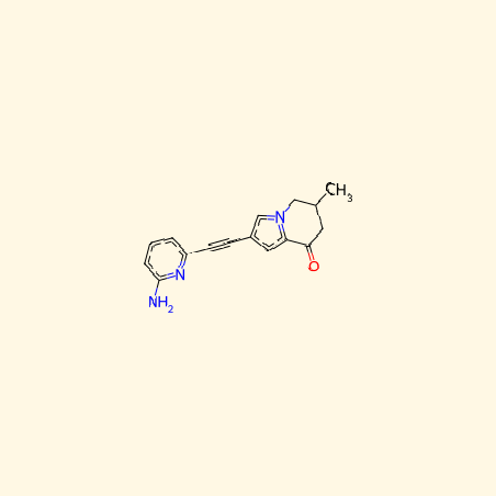 CC1CC(=O)c2cc(C#Cc3cccc(N)n3)cn2C1